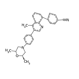 Cc1c(-c2ccc(N3CC(C)O[C@H](C)C3)cc2)cnc2c(-c3ccc(C#N)cc3)cccc12